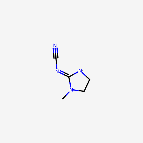 CN1CC[N]C1=NC#N